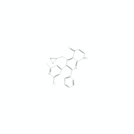 Cc1cc(-c2c(-c3ccccc3)nc3[nH]ccc(=O)c3c2CC2CC2)cc(Cl)n1